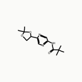 CC1(C)OCC(c2cnc(NC(=O)C(C)(C)C)cn2)O1